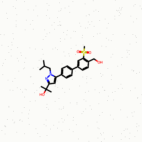 CC(C)Cn1nc(C(C)(C)O)cc1-c1ccc(-c2ccc(CO)c(S(C)(=O)=O)c2)cc1